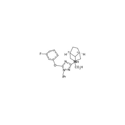 CC(C)n1nc(NC2[C@@H]3CC[C@H]2CN(C(=O)O)C3)nc1Oc1cccc(F)c1